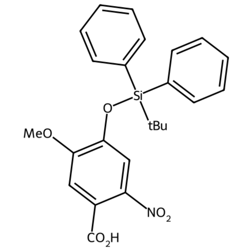 COc1cc(C(=O)O)c([N+](=O)[O-])cc1O[Si](c1ccccc1)(c1ccccc1)C(C)(C)C